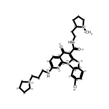 CN1CCCC1CCNC(=O)c1c(=O)c2ccc(NCCCN3CCCC3)nc2n2c1sc1ccc(Cl)cc12